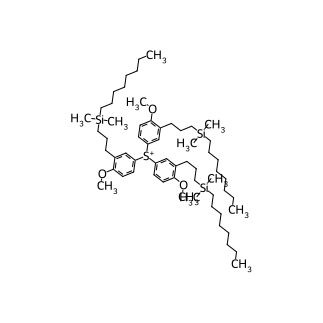 CCCCCCCC[Si](C)(C)CCCc1cc([S+](c2ccc(OC)c(CCC[Si](C)(C)CCCCCCCC)c2)c2ccc(OC)c(CCC[Si](C)(C)CCCCCCCC)c2)ccc1OC